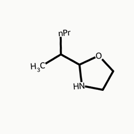 CCCC(C)C1NCCO1